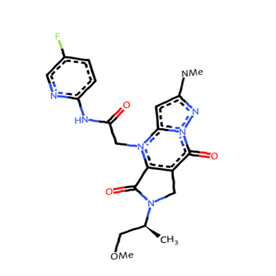 CNc1cc2n(CC(=O)Nc3ccc(F)cn3)c3c(c(=O)n2n1)CN([C@@H](C)COC)C3=O